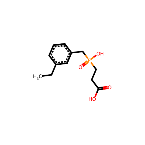 CCc1cccc(CP(=O)(O)CCC(=O)O)c1